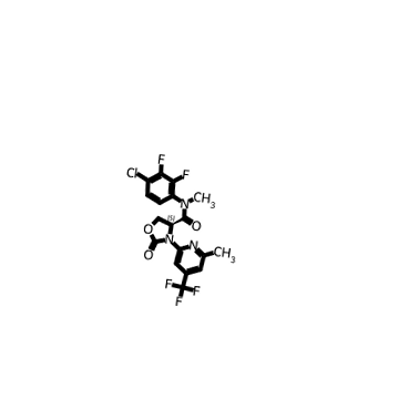 Cc1cc(C(F)(F)F)cc(N2C(=O)OC[C@H]2C(=O)N(C)c2ccc(Cl)c(F)c2F)n1